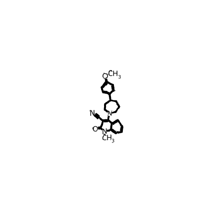 COc1ccc(C2CCCN(c3c(C#N)c(=O)n(C)c4ccccc34)CC2)cc1